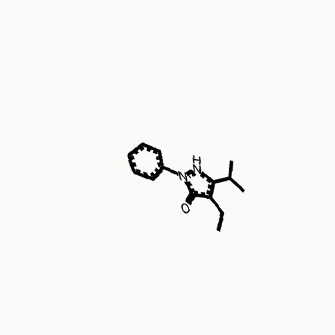 CCc1c(C(C)C)[nH]n(-c2ccccc2)c1=O